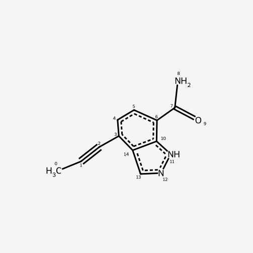 CC#Cc1ccc(C(N)=O)c2[nH]ncc12